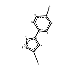 Fc1ccc(-c2cc(I)[nH]n2)cc1